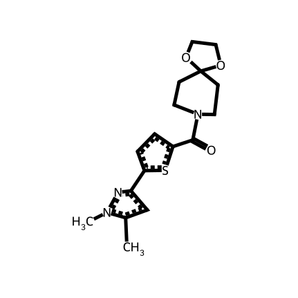 Cc1cc(-c2ccc(C(=O)N3CCC4(CC3)OCCO4)s2)nn1C